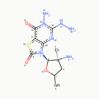 CCCC1C[C@@](N)(CC)[C@H](n2c(=O)sc3c(=O)n(N)c(NN)nc32)O1